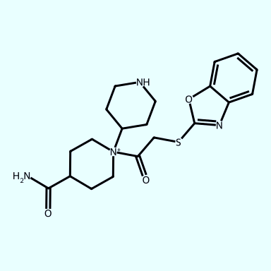 NC(=O)C1CC[N+](C(=O)CSc2nc3ccccc3o2)(C2CCNCC2)CC1